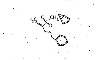 CC=C(SSCc1ccccc1)S(C)(=O)=O.c1cc2cc-2c1